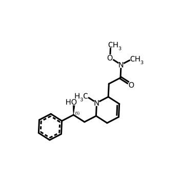 CON(C)C(=O)CC1C=CCC(C[C@H](O)c2ccccc2)N1C